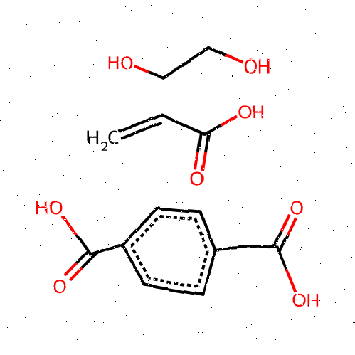 C=CC(=O)O.O=C(O)c1ccc(C(=O)O)cc1.OCCO